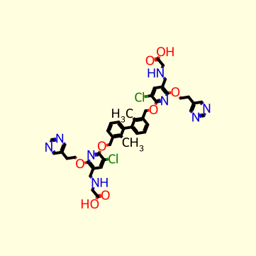 Cc1c(COc2nc(OCCc3cncnc3)c(CNCC(=O)O)cc2Cl)cccc1-c1cccc(COc2nc(OCCc3cncnc3)c(CNCC(=O)O)cc2Cl)c1C